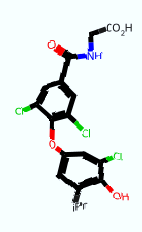 CC(C)c1cc(Oc2c(Cl)cc(C(=O)NCC(=O)O)cc2Cl)cc(Cl)c1O